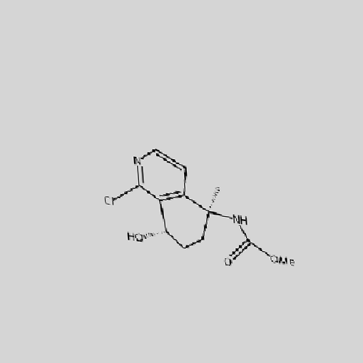 COC(=O)N[C@@]1(C)CC[C@H](O)c2c1ccnc2Cl